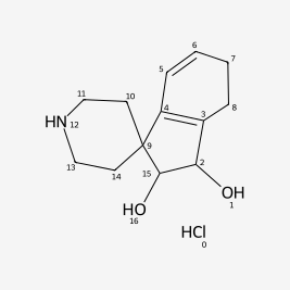 Cl.OC1C2=C(C=CCC2)C2(CCNCC2)C1O